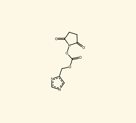 O=C(OCc1cncs1)ON1C(=O)CCC1=O